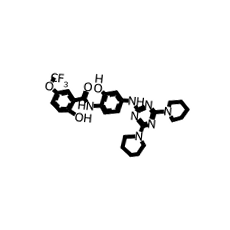 O=C(Nc1ccc(Nc2nc(N3CCCCC3)nc(N3CCCCC3)n2)cc1O)c1cc(OC(F)(F)F)ccc1O